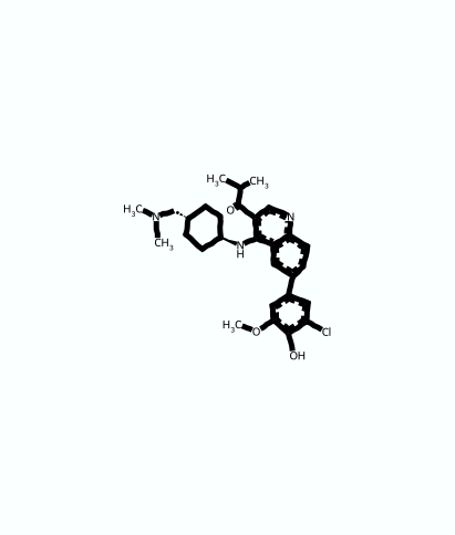 COc1cc(-c2ccc3ncc(C(=O)C(C)C)c(N[C@H]4CC[C@H](CN(C)C)CC4)c3c2)cc(Cl)c1O